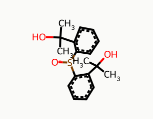 CC(C)(O)c1ccccc1[S+]([O-])c1ccccc1C(C)(C)O